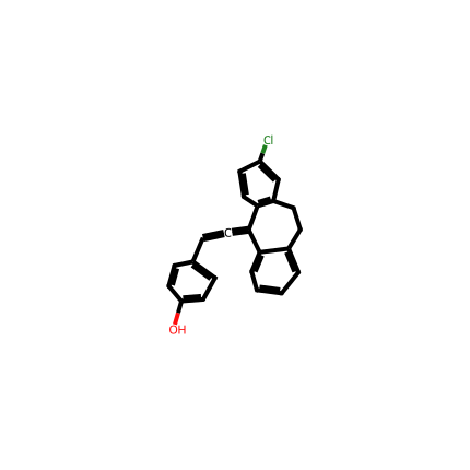 Oc1ccc(C=C=C2c3ccccc3CCc3cc(Cl)ccc32)cc1